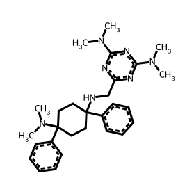 CN(C)c1nc(CNC2(c3ccccc3)CCC(c3ccccc3)(N(C)C)CC2)nc(N(C)C)n1